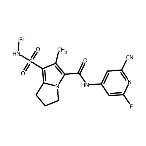 Cc1c(S(=O)(=O)NC(C)C)c2n(c1C(=O)Nc1cc(F)nc(C#N)c1)CCC2